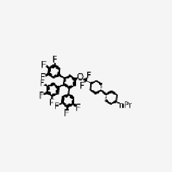 CCC[C@H]1CC[C@H]([C@H]2CC[C@H](C(F)(F)Oc3cc(-c4cc(F)c(F)c(F)c4)c(-c4cc(F)c(F)c(F)c4)c(-c4cc(F)c(F)c(F)c4)c3)CC2)CC1